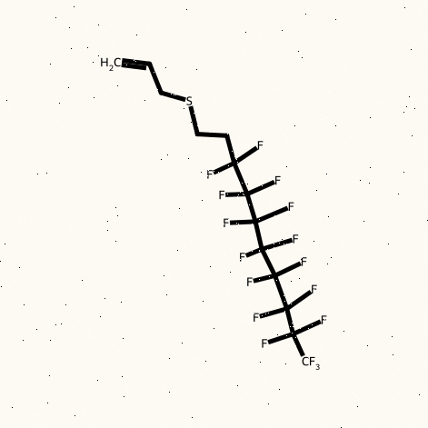 C=CCSCCC(F)(F)C(F)(F)C(F)(F)C(F)(F)C(F)(F)C(F)(F)C(F)(F)C(F)(F)F